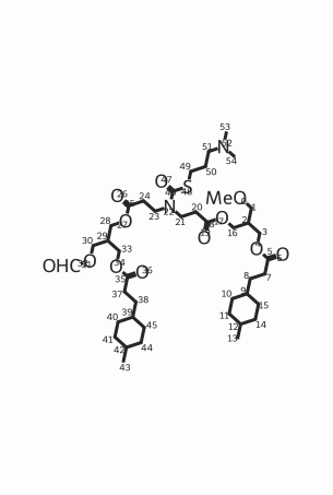 COCC(COC(=O)CCC1CCC(C)CC1)COC(=O)CCN(CCC(=O)OCC(COC=O)COC(=O)CCC1CCC(C)CC1)C(=O)SCCCN(C)C